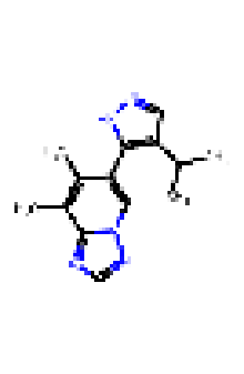 Cc1c(-c2[nH]ncc2C(C)C)cn2ncnc2c1C